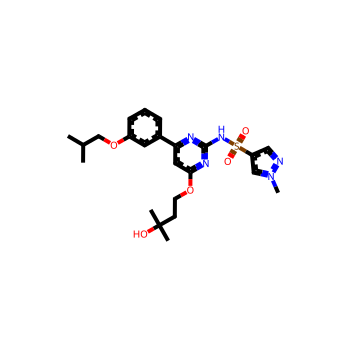 CC(C)COc1cccc(-c2cc(OCCC(C)(C)O)nc(NS(=O)(=O)c3cnn(C)c3)n2)c1